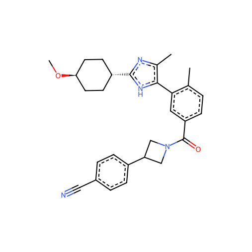 CO[C@H]1CC[C@H](c2nc(C)c(-c3cc(C(=O)N4CC(c5ccc(C#N)cc5)C4)ccc3C)[nH]2)CC1